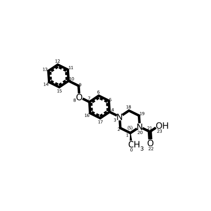 C[C@H]1CN(c2ccc(OCc3ccccc3)cc2)CCN1C(=O)O